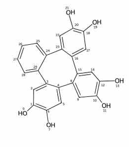 Oc1cc2c(cc1O)-c1cc(O)c(O)cc1-c1cc(O)c(O)cc1-c1ccccc1-2